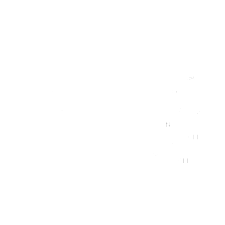 CC(C)(C)OC(=O)N1C(Cc2ccc(Oc3ccccc3)cc2)COC1(C)C